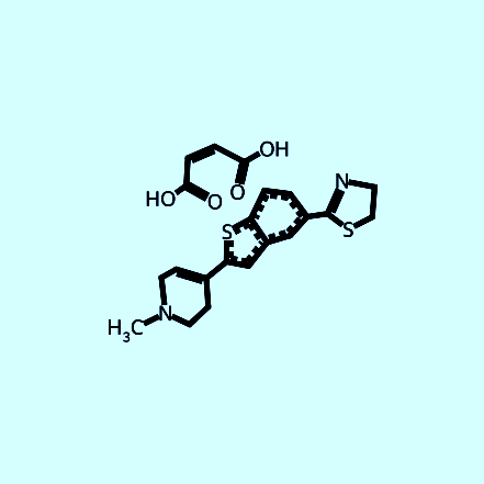 CN1CC=C(c2cc3cc(C4=NCCS4)ccc3s2)CC1.O=C(O)/C=C\C(=O)O